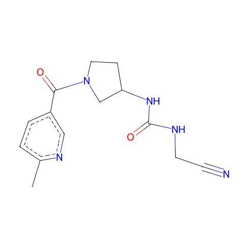 Cc1ccc(C(=O)N2CCC(NC(=O)NCC#N)C2)cn1